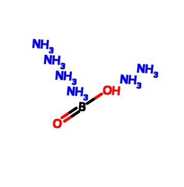 N.N.N.N.N.N.O=BO